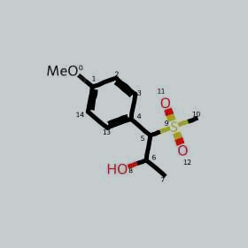 COc1ccc(C(C(C)O)S(C)(=O)=O)cc1